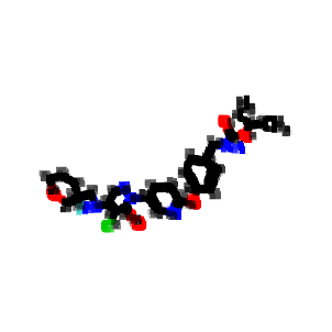 CC(C)OC(=O)NCc1ccc(Oc2ccc(-n3ncc(NC[C@@]4(F)CCCOC4)c(Cl)c3=O)cn2)cc1